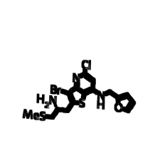 CSC[C@H](N)Cc1sc2c(NCc3ccco3)cc(Cl)nc2c1Br